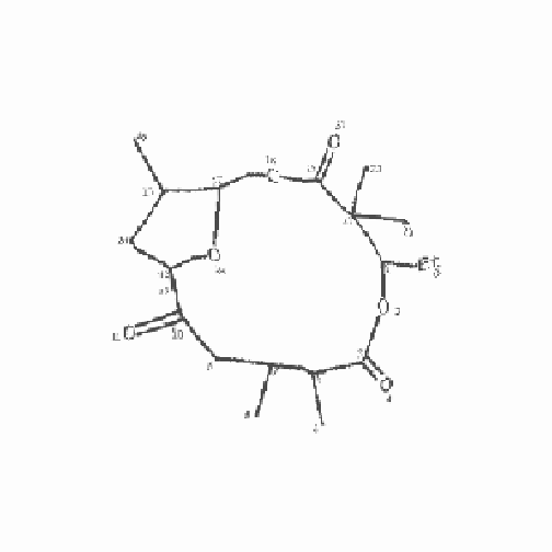 CCC1OC(=O)C(C)C(C)CC(=O)C2(C)CC(C)C(CC(=O)C1(C)C)O2